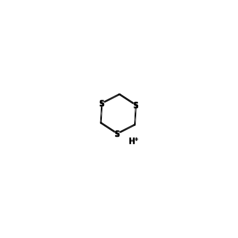 C1SCSCS1.[H+]